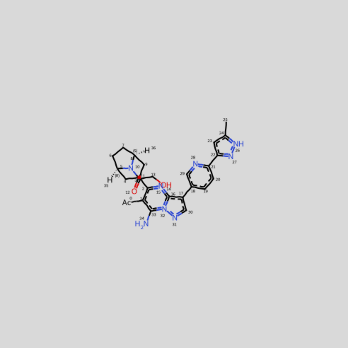 CC(=O)c1c(C2C[C@H]3CC[C@@H](C2)N3C(=O)CO)nc2c(-c3ccc(-c4cc(C)[nH]n4)nc3)cnn2c1N